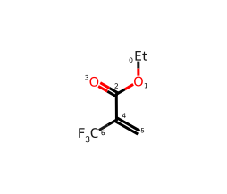 [CH2]COC(=O)C(=C)C(F)(F)F